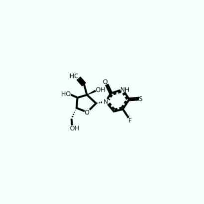 C#C[C@@]1(O)C(O)[C@@H](CO)O[C@H]1n1cc(F)c(=S)[nH]c1=O